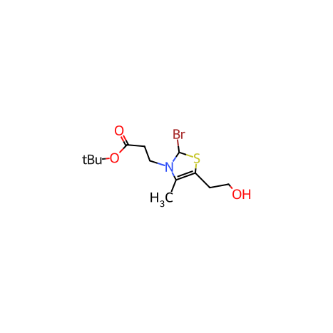 CC1=C(CCO)SC(Br)N1CCC(=O)OC(C)(C)C